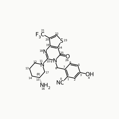 N#Cc1cc(O)ccc1Cn1c(N2CCC[C@@H](N)C2)nc2c(C(F)(F)F)csc2c1=O